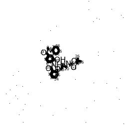 CN(C(=O)c1ccc(NC(=O)c2ccccc2OCCCNC(=O)OC(C)(C)C)c(O)c1)C1CCCCC1